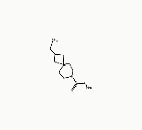 CCCCOC(=O)N1CCC2(CC1)CC(CN)C2